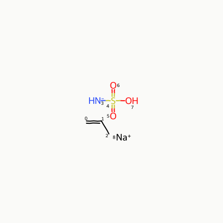 C=CC.[NH-]S(=O)(=O)O.[Na+]